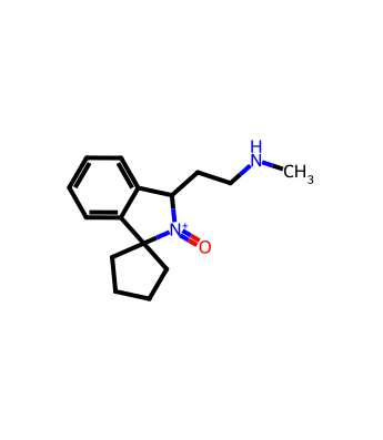 CNCCC1c2ccccc2C2(CCCC2)[N+]1=O